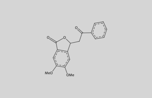 COc1cc2c(cc1OC)C(CC(=O)c1ccccc1)OC2=O